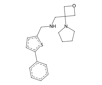 c1ccc(-c2ccc(CNCC3(N4CCCC4)COC3)s2)cc1